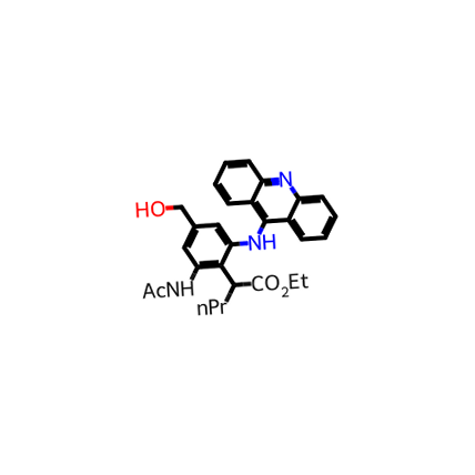 CCCC(C(=O)OCC)c1c(NC(C)=O)cc(CO)cc1Nc1c2ccccc2nc2ccccc12